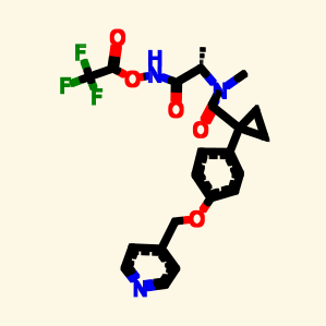 C[C@@H](C(=O)NOC(=O)C(F)(F)F)N(C)C(=O)C1(c2ccc(OCc3ccncc3)cc2)CC1